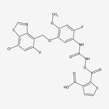 COc1cc(F)c(NC(=O)NOC(=O)c2sccc2C(=O)O)cc1OCc1c(F)cc(Cl)c2scnc12